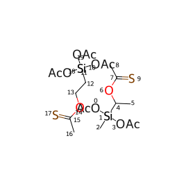 CC(=O)O[Si](C)(OC(C)=O)C(C)OC(C)=S.CC(=O)O[Si](CCOC(C)=S)(OC(C)=O)OC(C)=O